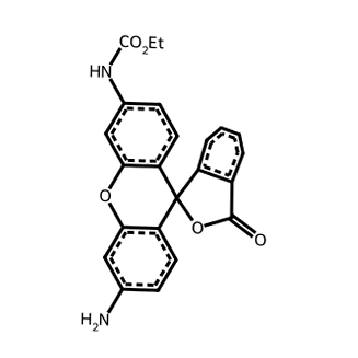 CCOC(=O)Nc1ccc2c(c1)Oc1cc(N)ccc1C21OC(=O)c2ccccc21